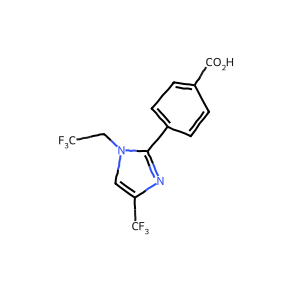 O=C(O)c1ccc(-c2nc(C(F)(F)F)cn2CC(F)(F)F)cc1